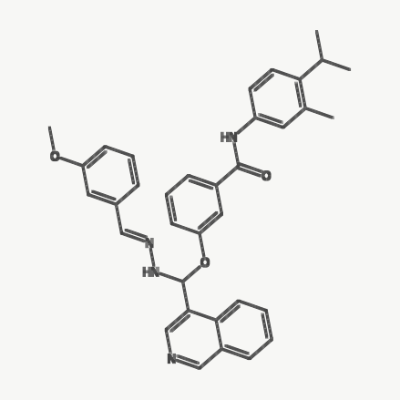 COc1cccc(C=NNC(Oc2cccc(C(=O)Nc3ccc(C(C)C)c(C)c3)c2)c2cncc3ccccc23)c1